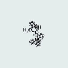 C=C1/C=C\C(c2ccc3c(c2)c2ccccc2n3-c2nc(-c3ccccc3)c3ccccc3n2)=C/CNC2=Nc3ccccc3/C2=C/1